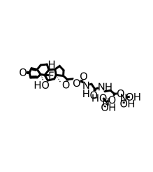 C[C@]12C[C@H](O)C3(F)[C@@H](CCC4=CC(=O)C=C[C@@]43C)C1CCC2C(=O)COC(=O)NCC(=O)NCCC(ON(O)O)ON(O)O